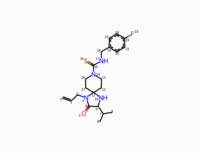 C=CCN1C(=O)C(C(C)C)NC12CCN(C(=S)NCc1ccc(F)cc1)CC2